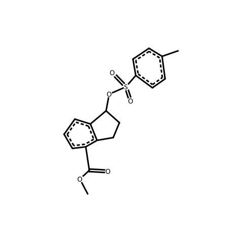 COC(=O)c1cccc2c1CCC2OS(=O)(=O)c1ccc(C)cc1